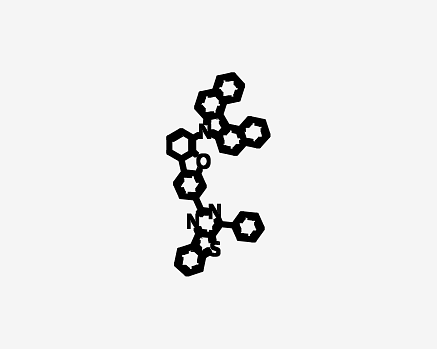 C1=CC(n2c3ccc4ccccc4c3c3c4ccccc4ccc32)=C2Oc3cc(-c4nc(-c5ccccc5)c5sc6ccccc6c5n4)ccc3C2C1